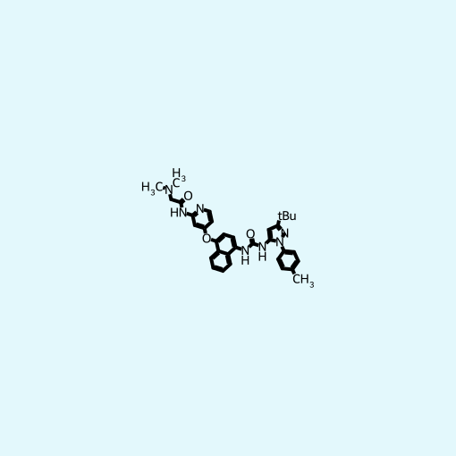 Cc1ccc(-n2nc(C(C)(C)C)cc2NC(=O)Nc2ccc(Oc3ccnc(NC(=O)CN(C)C)c3)c3ccccc23)cc1